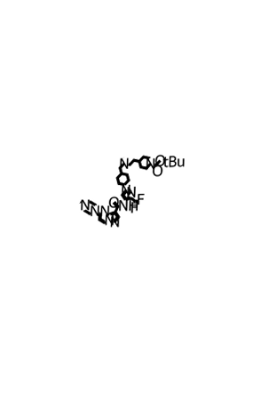 CN1CCN(c2ccn3ncc(C(=O)Nc4cn(C5CCC(CN(C)CCC6CCN(C(=O)OC(C)(C)C)CC6)CC5)nc4C(F)F)c3n2)CC1